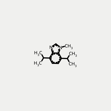 CC(C)c1ccc(C(C)C)c2c1ncn2C